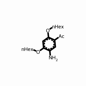 CCCCCCOc1cc(OCCCCCC)c(C(C)=O)cc1N